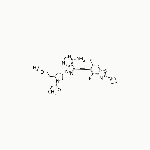 C=CC(=O)N1C[C@@H](n2nc(C#Cc3c(F)cc4sc(N5CCC5)nc4c3F)c3c(N)ncnc32)C[C@@H]1CCOC